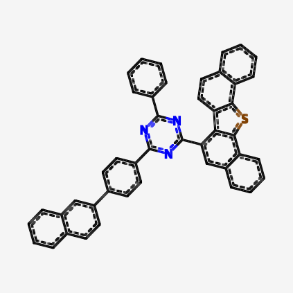 c1ccc(-c2nc(-c3ccc(-c4ccc5ccccc5c4)cc3)nc(-c3cc4ccccc4c4sc5c6ccccc6ccc5c34)n2)cc1